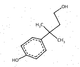 CC(C)(CCO)c1ccc(O)cc1